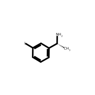 C[C@@H](N)c1cccc(I)c1